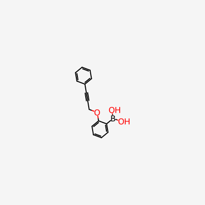 OB(O)c1ccccc1OCC#Cc1ccccc1